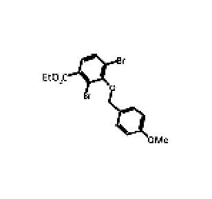 CCOC(=O)c1ccc(Br)c(OCc2ccc(OC)cc2)c1Br